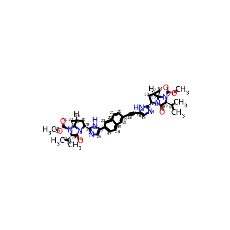 COC(=O)N1[C@@H](C(C)C)C(=O)N2[C@H](c3ncc(C#Cc4ccc5cc(-c6cnc([C@@H]7C[C@H]8C[C@]89N(C(=O)OC)[C@@H](C(C)C)C(=O)N79)[nH]6)ccc5c4)[nH]3)C[C@H]3C[C@@]312